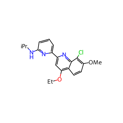 CCOc1cc(-c2cccc(NC(C)C)n2)nc2c(Cl)c(OC)ccc12